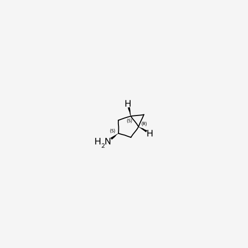 N[C@H]1C[C@@H]2C[C@@H]2C1